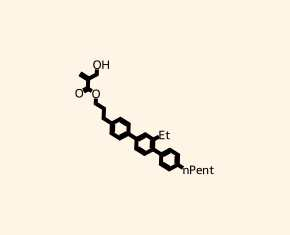 C=C(CO)C(=O)OCCCc1ccc(-c2ccc(-c3ccc(CCCCC)cc3)c(CC)c2)cc1